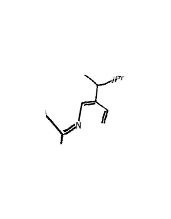 C=C/C(=C\N=C(\C)I)C(C)C(C)C